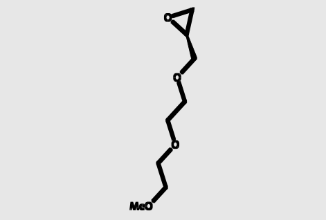 COCCOCCOC[C@@H]1CO1